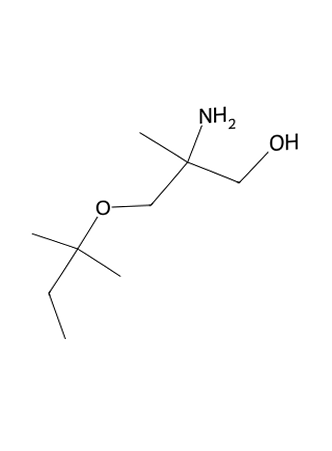 CCC(C)(C)OCC(C)(N)CO